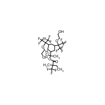 CCC(C)(C(=O)OC(C)(C)C1CC(C(OCCO)(C(F)(F)F)C(F)(F)F)CC(C(OCCO)(C(F)(F)F)C(F)(F)F)C1)C(F)(F)F